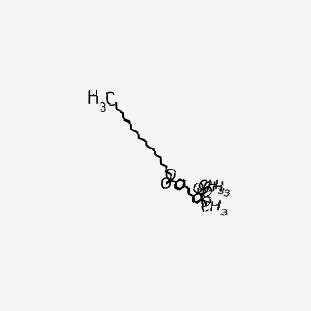 CCCCC=CCCCCCCCCCCCOC(=O)c1ccc(C=Cc2ccc(OC)c(OC)c2OC)cc1